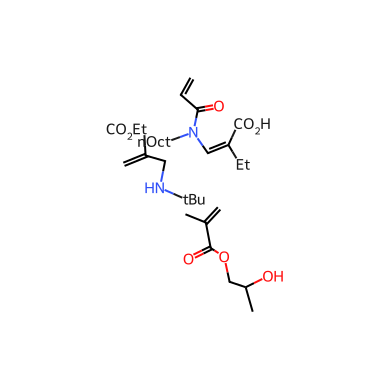 C=C(C)C(=O)OCC(C)O.C=C(CNC(C)(C)C)C(=O)OCC.C=CC(=O)N(C=C(CC)C(=O)O)CCCCCCCC